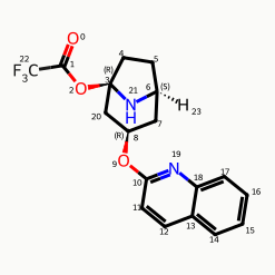 O=C(O[C@]12CC[C@@H](C[C@@H](Oc3ccc4ccccc4n3)C1)N2)C(F)(F)F